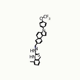 Cc1cccc(C)c1NC(=S)N/N=C/c1ccc2c(ccc3c2ccn3-c2ccc(OC(F)(F)F)cc2)c1